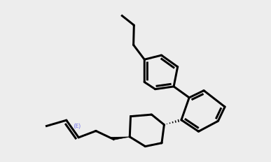 C/C=C/CC[C@H]1CC[C@H](c2ccccc2-c2ccc(CCC)cc2)CC1